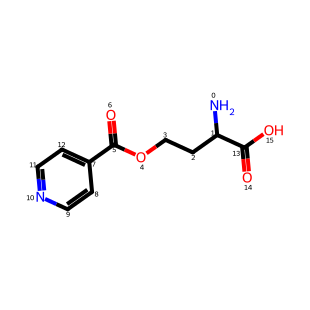 NC(CCOC(=O)c1ccncc1)C(=O)O